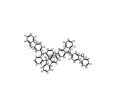 CC1(c2ccccc2N(c2ccc(-c3ccc4c(c3)c3ccccc3n4-c3ccc4c(c3)oc3ccccc34)cc2)c2ccc3c(c2)sc2ccccc23)c2ccccc2-c2ccccc21